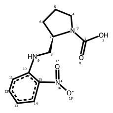 O=C(O)N1CCC[C@@H]1CNc1ccccc1[N+](=O)[O-]